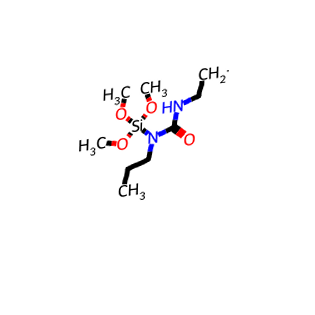 [CH2]CNC(=O)N(CCC)[Si](OC)(OC)OC